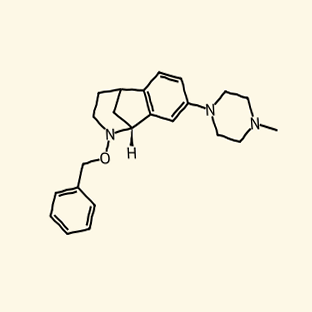 CN1CCN(c2ccc3c(c2)[C@H]2CC3CCN2OCc2ccccc2)CC1